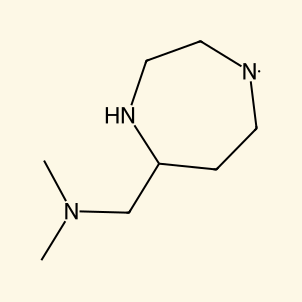 CN(C)CC1CC[N]CCN1